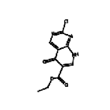 CCOC(=O)c1c[nH]c2nc(Cl)ncc2c1=O